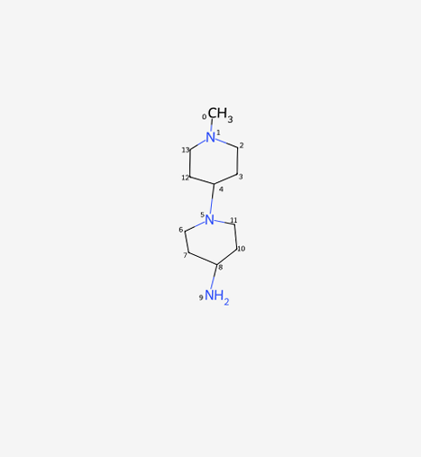 CN1CCC(N2CCC(N)CC2)CC1